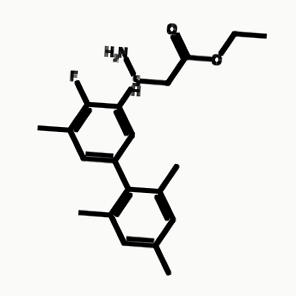 CCOC(=O)C[SH](N)c1cc(-c2c(C)cc(C)cc2C)cc(C)c1F